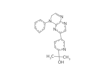 CC(C)(O)c1ccc(-c2cnc3c(n2)N(c2ccccc2)CC=N3)cn1